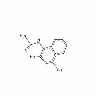 NC(=O)Nc1c(O)cc(O)c2ccccc12